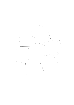 CC(=O)c1ccc(Br)cc1.[Eu].c1cnc2c(c1)ccc1cccnc12